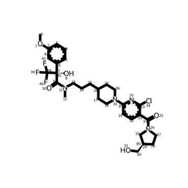 COc1cccc([C@@](O)(C(=O)N(C)CCCC2CCN(c3ccc(C(=O)N4CC[C@@H](CO)C4)c(Cl)n3)CC2)C(F)(F)F)c1